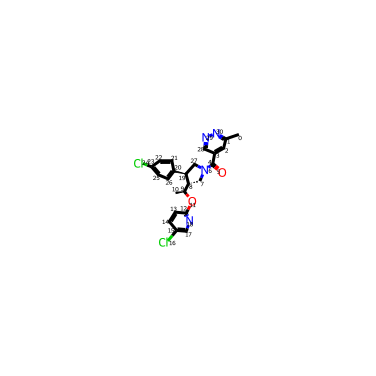 Cc1cc(C(=O)N2C[C@H]([C@H](C)Oc3ccc(Cl)cn3)[C@@H](c3ccc(Cl)cc3)C2)cnn1